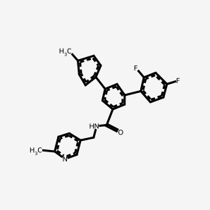 Cc1ccc(-c2cc(C(=O)NCc3ccc(C)nc3)cc(-c3ccc(F)cc3F)c2)cc1